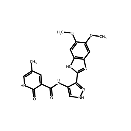 COc1cc2nc(-c3n[nH]cc3NC(=O)c3cc(C)c[nH]c3=O)[nH]c2cc1OC